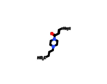 CCCCCCC/C=C/C(=O)N1CCN(CCCC(=O)O)CC1